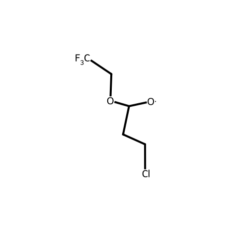 [O]C(CCCl)OCC(F)(F)F